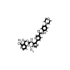 C[C@@H](OC(=O)Nc1c(-c2ccc(C(=O)Nc3ccc(N4CCOCC4)cc3)cn2)nnn1C)c1cccnc1Cl